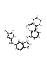 Cn1cc(Nc2ncc3cnn(Cc4cccc(N5CCOCC5=O)c4F)c3n2)cn1